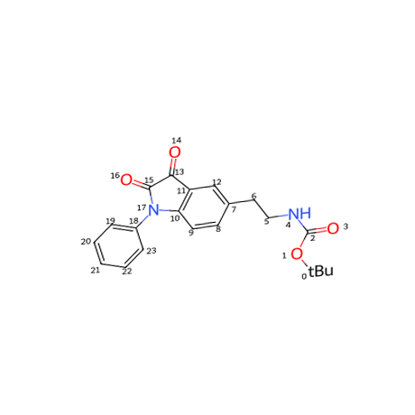 CC(C)(C)OC(=O)NCCc1ccc2c(c1)C(=O)C(=O)N2c1ccccc1